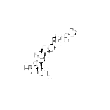 CN(C)C(=O)c1cc2c(Oc3ccc(NC(=S)NC(=O)Cc4ccccc4)cc3F)ncnc2n1C